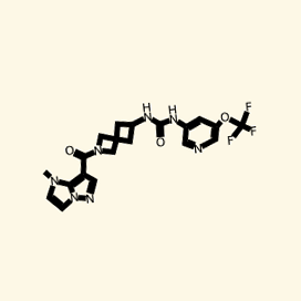 Cn1ccn2ncc(C(=O)N3CC4(CC(NC(=O)Nc5cncc(OC(F)(F)F)c5)C4)C3)c12